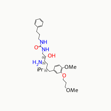 COCCCOc1cc(C[C@@H](C[C@H](N)[C@@H](O)CNC(=O)NCCCc2ccccc2)C(C)C)ccc1OC